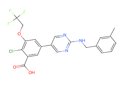 Cc1cccc(CNc2ncc(-c3cc(OCC(F)(F)F)c(Cl)c(C(=O)O)c3)cn2)c1